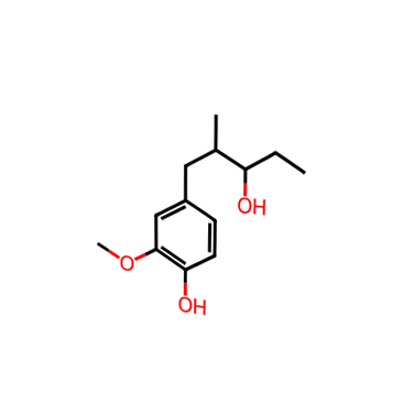 CCC(O)C(C)Cc1ccc(O)c(OC)c1